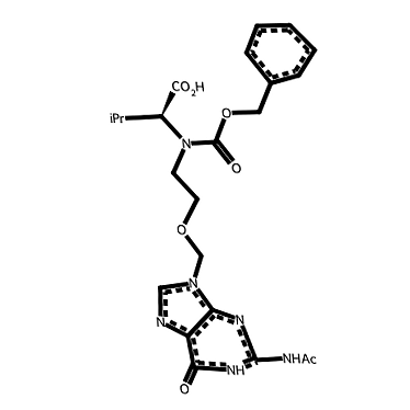 CC(=O)Nc1nc2c(ncn2COCCN(C(=O)OCc2ccccc2)[C@H](C(=O)O)C(C)C)c(=O)[nH]1